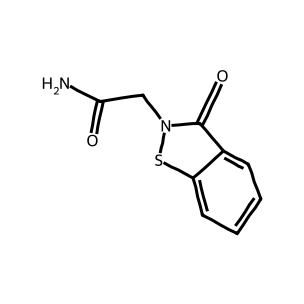 NC(=O)Cn1sc2ccccc2c1=O